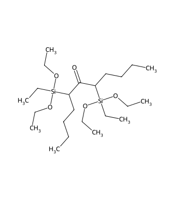 CCCCC(C(=O)C(CCCC)[Si](CC)(OCC)OCC)[Si](CC)(OCC)OCC